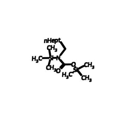 CCCCCCCCN(C(=O)O[Si](C)(C)C)[Si](C)(C)C